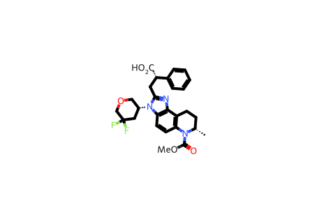 COC(=O)N1c2ccc3c(nc(C[C@H](C(=O)O)c4ccccc4)n3[C@H]3COCC(F)(F)C3)c2CC[C@@H]1C